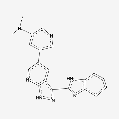 CN(C)c1cncc(-c2cnc3[nH]nc(-c4nc5ccccc5[nH]4)c3c2)c1